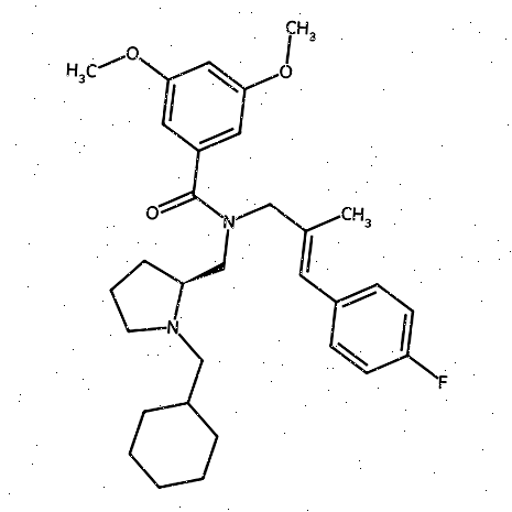 COc1cc(OC)cc(C(=O)N(CC(C)=Cc2ccc(F)cc2)C[C@@H]2CCCN2CC2CCCCC2)c1